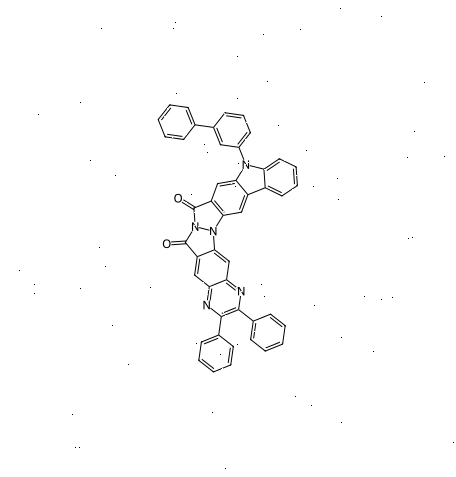 O=c1c2cc3nc(-c4ccccc4)c(-c4ccccc4)nc3cc2n2c3cc4c5ccccc5n(-c5cccc(-c6ccccc6)c5)c4cc3c(=O)n12